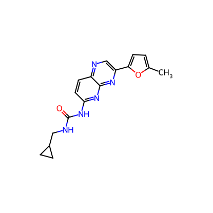 Cc1ccc(-c2cnc3ccc(NC(=O)NCC4CC4)nc3n2)o1